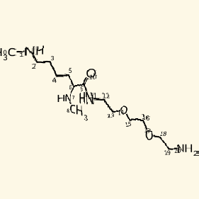 CNCCCCC(NC)C(=O)NCCOCCOCCN